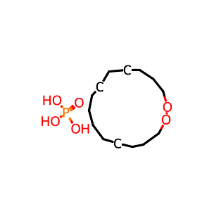 C1CCCCCCCOOCCCCCC1.O=P(O)(O)O